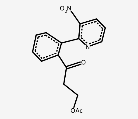 CC(=O)OCCC(=O)c1ccccc1-c1ncccc1[N+](=O)[O-]